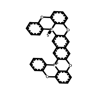 S=P12c3ccccc3Oc3cccc(c31)Oc1cc3cc4c(cc3cc12)P1(=S)c2ccccc2Oc2cccc(c21)O4